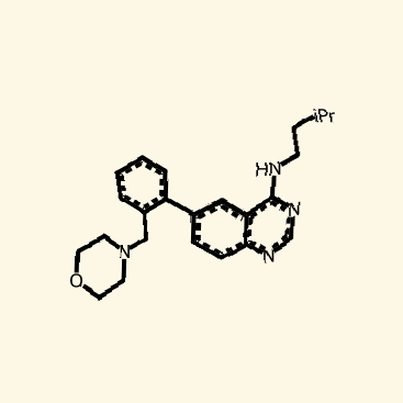 CC(C)CCNc1ncnc2ccc(-c3ccccc3CN3CCOCC3)cc12